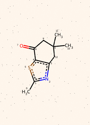 Cc1nc2c(s1)C(=O)CC(C)(C)C2